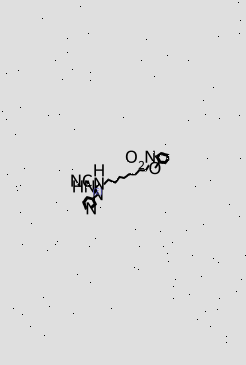 N#CN/C(=N\c1cccnc1)NCCCCCCCCCCOc1ccccc1[N+](=O)[O-]